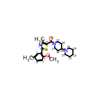 COc1ccc(C)cc1-c1nc(C)c(C(=O)N2CCC(N3CCCCC3)CC2)s1